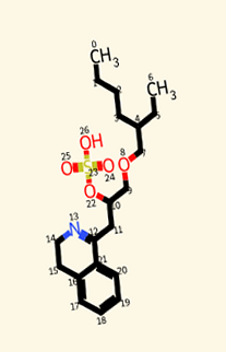 CCCCC(CC)COCC(CC1=NCCc2ccccc21)OS(=O)(=O)O